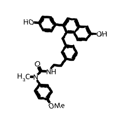 COc1ccc(N(C)C(=O)NCCc2cccc(Cc3c(-c4ccc(O)cc4)ccc4cc(O)ccc34)c2)cc1